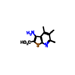 Cc1nc2sc(C(=O)O)c(N)c2c(C)c1C